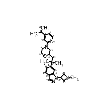 CC(C)c1ccnc(N2CCOC(CC(C)(C)c3ccc4cnn(C5CN(C)C5)c4c3)C2)c1